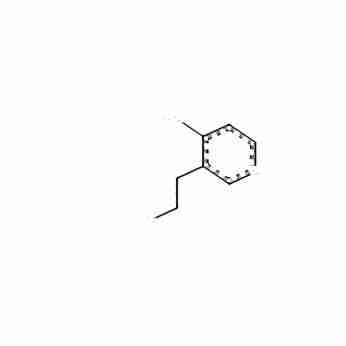 CNc1ccncc1CCN